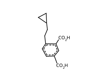 O=C(O)c1ccc(CCC2CC2)c(C(=O)O)c1